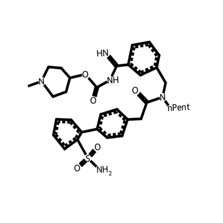 CCCCCN(Cc1cccc(C(=N)NC(=O)OC2CCN(C)CC2)c1)C(=O)Cc1ccc(-c2ccccc2S(N)(=O)=O)cc1